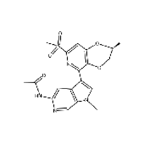 CC(=O)Nc1cc2c(-c3nc(S(C)(=O)=O)cc4c3OC[C@H](C)O4)cn(C)c2cn1